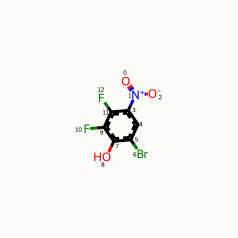 O=[N+]([O-])c1cc(Br)c(O)c(F)c1F